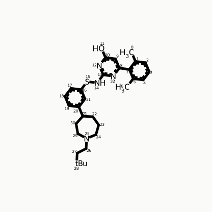 Cc1cccc(C)c1-c1cc(O)nc(NSc2cccc(C3CCCN(CCC(C)(C)C)CC3)c2)n1